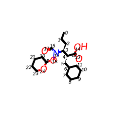 CCC[C@@H]([C@@H](CC1CCCCC1)C(=O)O)N(C=O)OC1CCCCO1